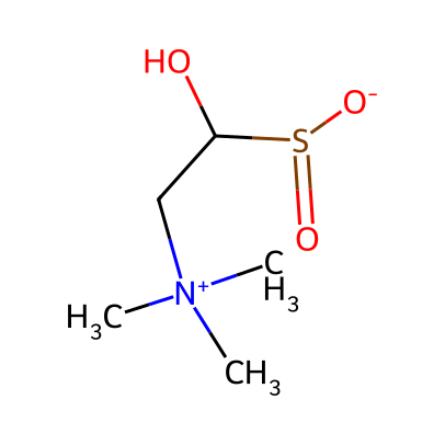 C[N+](C)(C)CC(O)S(=O)[O-]